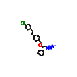 [N-]=[N+]=NC[C@H](OCc1ccc(CCc2ccc(Cl)cc2)cc1)c1ccccc1